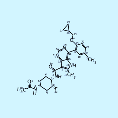 CC(=O)N[C@@H]1CC[C@H](NC(=O)c2c(C)[nH]c3c(-c4cc(C)ccc4OCC4CC4)ncnc23)[C@H](F)C1